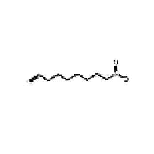 [CH]=CCCCCCCC[N+](=O)[O-]